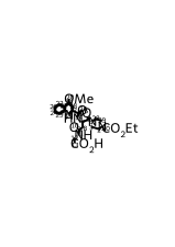 CCOC(=O)N1CCN(C(=O)C(CC(=O)NCC(=O)O)NC(=O)c2cc(OC)c3ccccc3n2)CC1